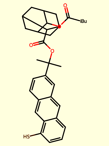 CCC(C)C(=O)OC1C2CC3CC1CC(C2)C3C(=O)OC(C)(C)c1ccc2cc3c(S)cccc3cc2c1